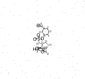 CCC(C)c1cccc(OS(=O)(=O)CC23CCC(CC2=O)C3(C)C)c1